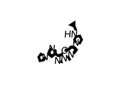 CC(n1cnc(-c2cncc(N3CCCC3)c2)c1)n1ccc(N2CCC[C@@H](NCC3CC3)C2)cc1=O